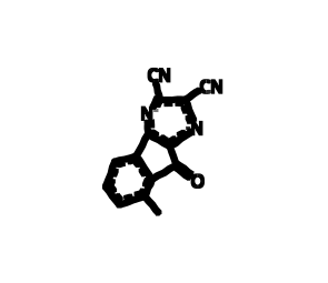 Cc1cccc2c1C(=O)c1nc(C#N)c(C#N)nc1-2